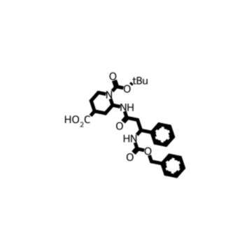 CC(C)(C)OC(=O)N1CCC(C(=O)O)CC1NC(=O)CC(NC(=O)OCc1ccccc1)c1ccccc1